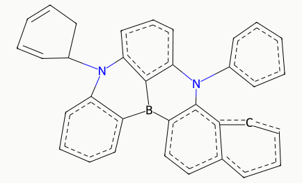 C1=CCC(N2c3ccccc3B3c4ccc5ccccc5c4N(c4ccccc4)c4cccc2c43)C=C1